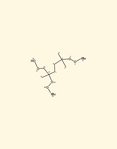 CC(C)(C)OOC(C)(C)CCC(C)(COO)OOC(C)(C)C